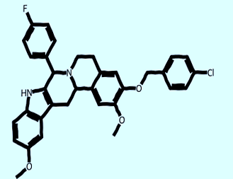 COc1ccc2[nH]c3c(c2c1)CC1c2cc(OC)c(OCc4ccc(Cl)cc4)cc2CCN1C3c1ccc(F)cc1